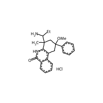 CCC(N)C1(C)CC(OC)(c2ccccc2)Cc2c1[nH]c(=O)c1ccccc21.Cl